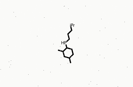 CC(C)CCCPC1CCC(C)CC1C